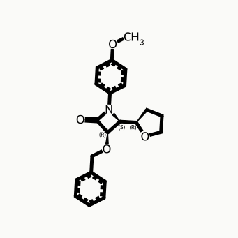 COc1ccc(N2C(=O)[C@H](OCc3ccccc3)[C@@H]2[C@H]2CCCO2)cc1